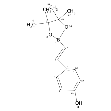 CC1(C)OB(C=Cc2ccc(O)cc2)OC1(C)C